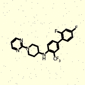 Fc1ccc(-c2ccc(NC3CCN(c4ncccn4)CC3)c(C(F)(F)F)c2)c(F)c1